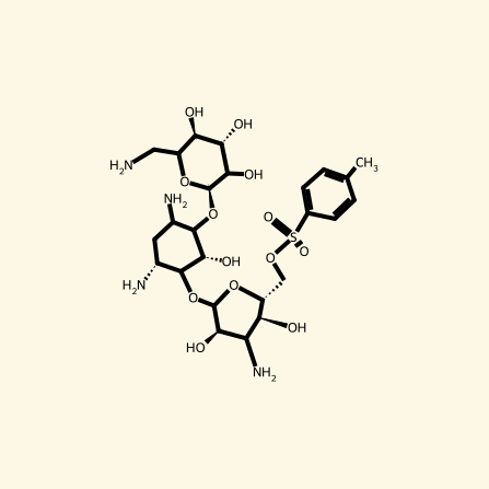 Cc1ccc(S(=O)(=O)OC[C@H]2OC(OC3[C@@H](O)C(O[C@H]4OC(CN)[C@@H](O)[C@H](O)C4O)C(N)C[C@H]3N)[C@H](O)C(N)[C@@H]2O)cc1